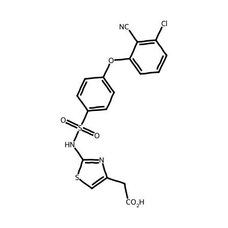 N#Cc1c(Cl)cccc1Oc1ccc(S(=O)(=O)Nc2nc(CC(=O)O)cs2)cc1